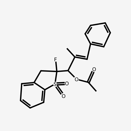 CC(=O)OC(/C(C)=C/c1ccccc1)C1(F)Cc2ccccc2S1(=O)=O